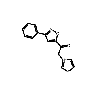 O=C(C[n+]1ccsc1)c1cc(-c2ccccc2)no1